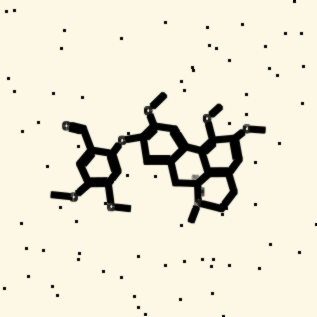 COc1cc(C=O)c(Oc2cc3c(cc2OC)-c2c(OC)c(OC)cc4c2[C@H](C3)N(C)CC4)cc1OC